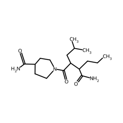 CCCC(C(N)=O)C(CC(C)C)C(=O)N1CCC(C(N)=O)CC1